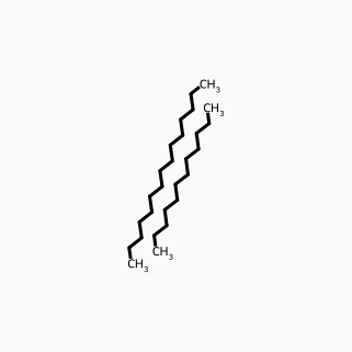 CCCCCCCCCCCC.CCCCCCCCCCCCCCC